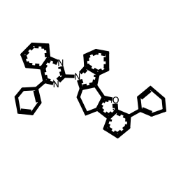 C1=CCCC(c2nc(-n3c4c(c5ccccc53)-c3oc5c(C6=CCCC=C6)cccc5c3CC4)nc3ccccc23)=C1